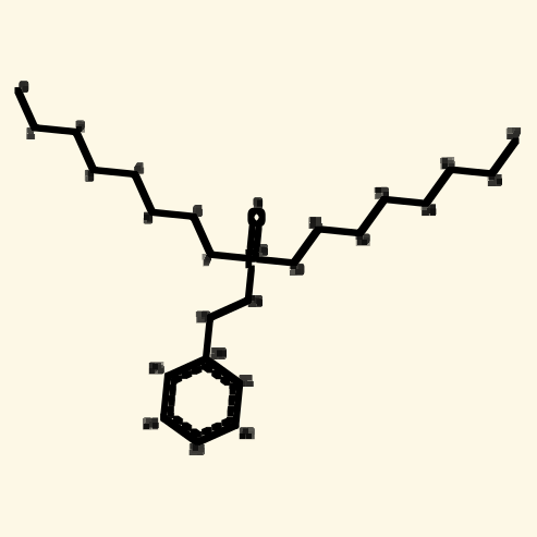 CCCCCCCCP(=O)(CCCCCCCC)CCc1ccccc1